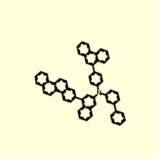 c1ccc(-c2cccc(N(c3ccc(-c4cc5ccccc5c5ccccc45)cc3)c3cc(-c4ccc5c(ccc6c7ccccc7ccc56)c4)c4ccccc4c3)c2)cc1